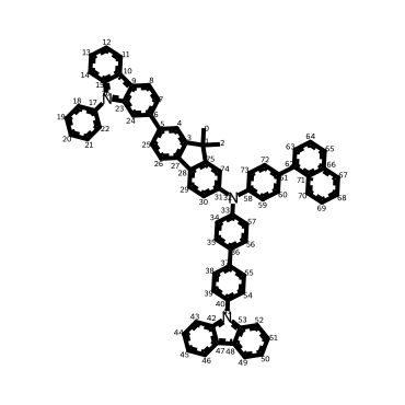 CC1(C)c2cc(-c3ccc4c5ccccc5n(-c5ccccc5)c4c3)ccc2-c2ccc(N(c3ccc(-c4ccc(-n5c6ccccc6c6ccccc65)cc4)cc3)c3ccc(-c4cccc5ccccc45)cc3)cc21